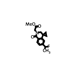 COC(=O)CN1CC2(CC2)c2cc(C(C)F)ccc2C1=O